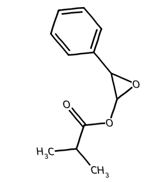 CC(C)C(=O)OC1OC1c1ccccc1